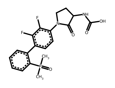 CP(C)(=O)c1ccccc1-c1ccc(N2CCC(NC(=O)O)C2=O)c(F)c1F